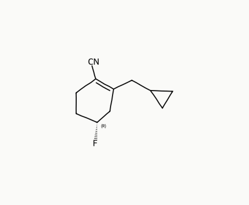 N#CC1=C(CC2CC2)C[C@H](F)CC1